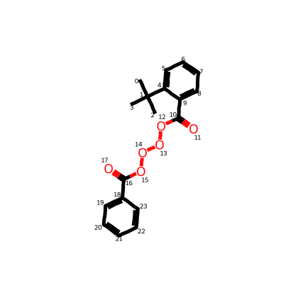 CC(C)(C)c1ccccc1C(=O)OOOOC(=O)c1ccccc1